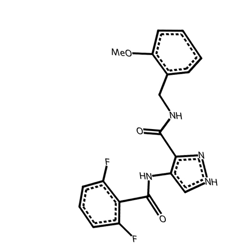 COc1ccccc1CNC(=O)c1n[nH]cc1NC(=O)c1c(F)cccc1F